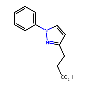 O=C(O)CCc1ccn(-c2ccccc2)n1